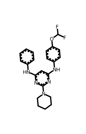 FC(F)Oc1ccc(Nc2cc(Nc3ccccc3)nc(N3CCCCC3)n2)cc1